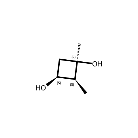 C[C@H]1[C@@H](O)C[C@@]1(C)O